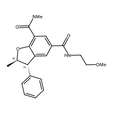 CNC(=O)c1cc(C(=O)NCCOC)cc2c1O[C@H](C)[C@H]2c1ccccc1